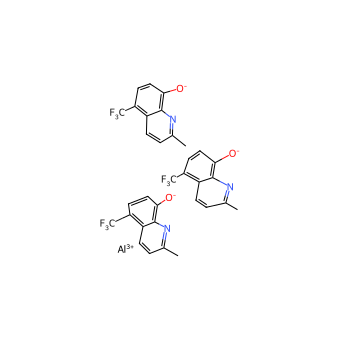 Cc1ccc2c(C(F)(F)F)ccc([O-])c2n1.Cc1ccc2c(C(F)(F)F)ccc([O-])c2n1.Cc1ccc2c(C(F)(F)F)ccc([O-])c2n1.[Al+3]